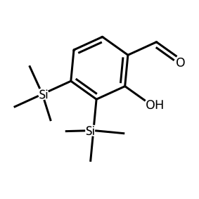 C[Si](C)(C)c1ccc(C=O)c(O)c1[Si](C)(C)C